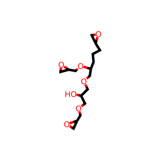 OC(COCC(CCCC1CO1)OCC1CO1)COCC1CO1